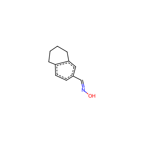 O/N=C/c1ccc2c(c1)CCCC2